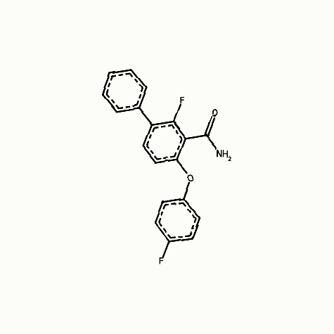 NC(=O)c1c(Oc2ccc(F)cc2)ccc(-c2ccccc2)c1F